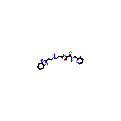 O=C(NCc1ncccc1I)c1coc(CCNCCc2nc3c([nH]2)C=CCC3)n1